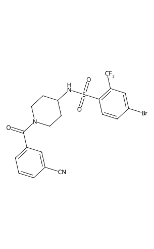 N#Cc1cccc(C(=O)N2CCC(NS(=O)(=O)c3ccc(Br)cc3C(F)(F)F)CC2)c1